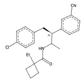 CCC1(C(=O)NC(C)[C@@H](Cc2ccc(Cl)cc2)c2cccc(C#N)c2)CCC1